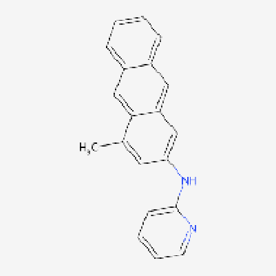 Cc1cc(Nc2ccccn2)cc2cc3ccccc3cc12